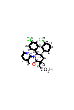 Cc1cccnc1N1C(=O)[C@@](C)(CC(=O)O)C[C@H](c2cccc(Cl)c2)C1c1ccc(Cl)cc1